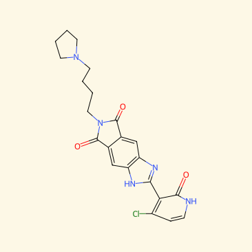 O=C1c2cc3nc(-c4c(Cl)cc[nH]c4=O)[nH]c3cc2C(=O)N1CCCCN1CCCC1